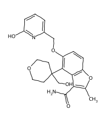 Cc1oc2ccc(OCc3cccc(O)n3)c(C3(CO)CCOCC3)c2c1C(N)=O